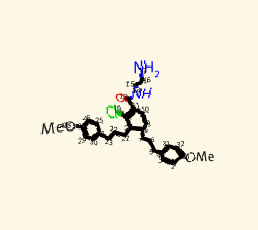 COc1ccc(CCCc2ccc(C(=O)NCCN)c(Cl)c2CCCc2ccc(OC)cc2)cc1